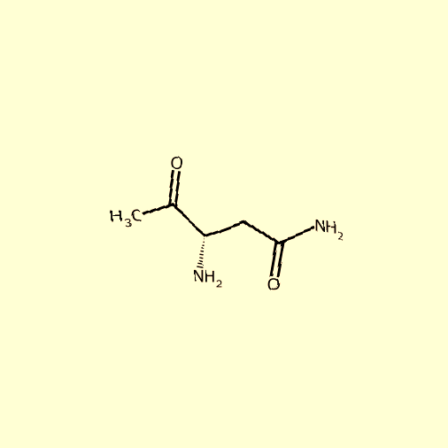 CC(=O)[C@@H](N)CC(N)=O